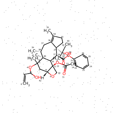 C=CC(O)OC1(C)C[C@H]2OC[C@@]2(OC(C)=O)C2[C@H](C(=O)Oc3ccccc3)[C@]3(C(C)(C)O)CCC(C)=C3C[C@@H](C)[C@@]21C